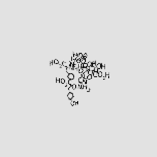 CN(C)NC(Cc1ccccc1)C(=O)O.Nc1ccn(C2O[C@H](COP(=O)(O)O)[C@@H](O)[C@H]2O)c(=O)n1.O=C(O)C(=O)Cc1ccc(O)cc1.O=C(O)CC(O)C(=O)O